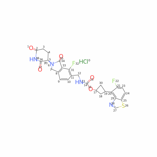 Cl.O=C1CC[C@@H](N2Cc3ccc(CNC(=O)OC4CC(c5c(F)ccc6scnc56)C4)c(F)c3C2=O)C(=O)N1